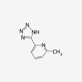 Cc1cccc(-c2nnn[nH]2)n1